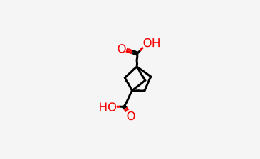 O=C(O)C12CCC(C(=O)O)(C1)C2